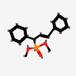 COP(=O)(OC)C(/C=C/c1ccccc1)c1ccccc1